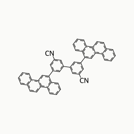 [C-]#[N+]c1cc(-c2cc(C#N)cc(-c3cc4c5ccccc5ccc4c4ccccc34)c2)cc(-c2cc3c4ccccc4ccc3c3ccccc23)c1